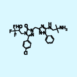 CC(C)(N)CNc1nc(Cn2nc(-c3ccc(Cl)cc3)n(CC(O)C(F)(F)F)c2=O)nn1-c1ccccc1